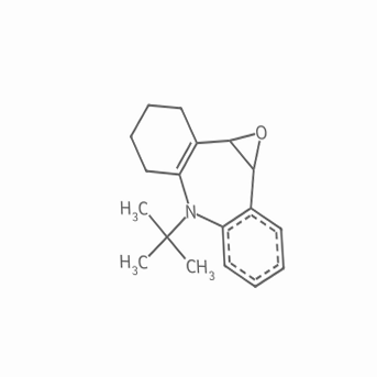 CC(C)(C)N1C2=C(CCCC2)C2OC2c2ccccc21